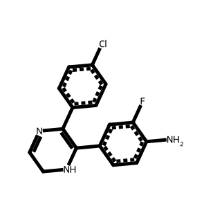 Nc1ccc(C2=C(c3ccc(Cl)cc3)N=CCN2)cc1F